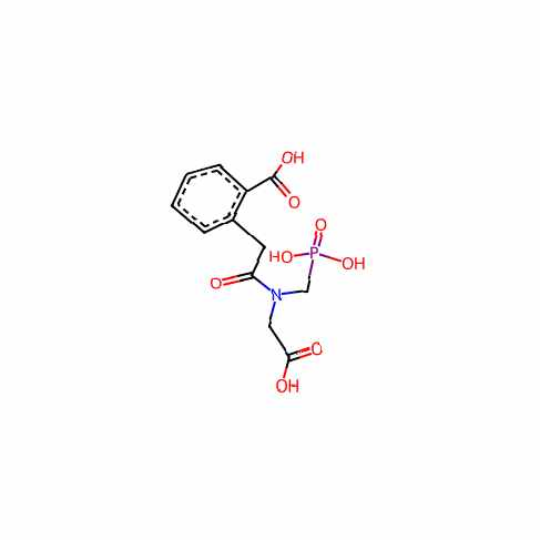 O=C(O)CN(CP(=O)(O)O)C(=O)Cc1ccccc1C(=O)O